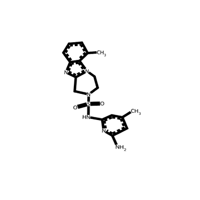 Cc1cc(N)nc(NS(=O)(=O)N2CCn3c(nc4cccc(C)c43)C2)c1